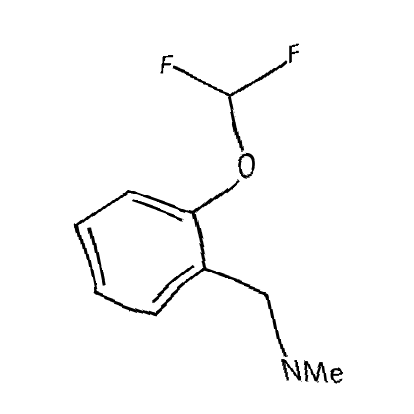 CNCc1ccccc1OC(F)F